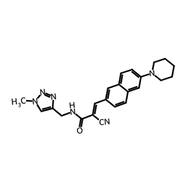 Cn1cc(CNC(=O)/C(C#N)=C/c2ccc3cc(N4CCCCC4)ccc3c2)nn1